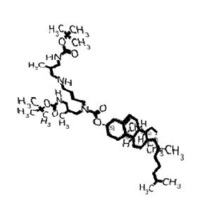 CC(C)CCC[C@@H](C)[C@H]1CC[C@H]2[C@@H]3CC=C4C[C@@H](OC(=O)N(CCCCNCC(C)CNC(=O)OC(C)(C)C)CC(C)CNC(=O)OC(C)(C)C)CC[C@]4(C)[C@H]3CC[C@]12C